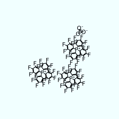 Fc1c(F)c(F)c([P+](c2c(F)c(F)c(F)c(F)c2F)(c2c(F)c(F)c(F)c(F)c2F)c2c(F)c(F)c(F)c(F)c2F)c(F)c1F.Fc1c(F)c(F)c([P+](c2c(F)c(F)c(F)c(F)c2F)(c2c(F)c(F)c(F)c(F)c2F)c2c(F)c(F)c(F)c(F)c2F)c(F)c1F.Fc1c(F)c(F)c([P+](c2c(F)c(F)c(F)c(F)c2F)(c2c(F)c(F)c(F)c(F)c2F)c2c(F)c(F)c(F)c(F)c2F)c(F)c1F.[O-]B([O-])[O-]